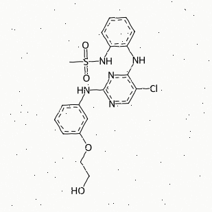 CS(=O)(=O)Nc1ccccc1Nc1nc(Nc2cccc(OCCO)c2)ncc1Cl